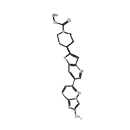 Cc1cn2nc(-c3cnc4cc(C5CCN(C(=O)OC(C)(C)C)CC5)sc4c3)ccc2n1